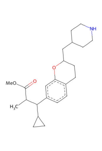 COC(=O)C(C)C(c1ccc2c(c1)OC(CC1CCNCC1)CC2)C1CC1